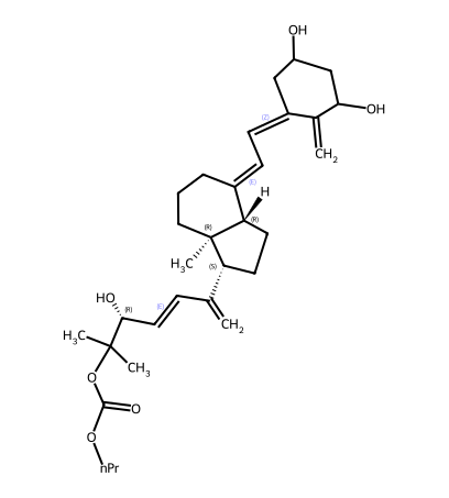 C=C1/C(=C\C=C2/CCC[C@]3(C)[C@@H](C(=C)/C=C/[C@@H](O)C(C)(C)OC(=O)OCCC)CC[C@@H]23)CC(O)CC1O